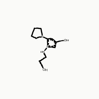 OCCNn1cc(O)cc1N1CCCC1